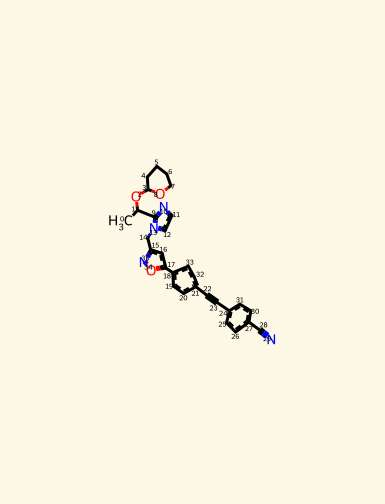 CC(OC1CCCCO1)c1nccn1Cc1cc(-c2ccc(C#Cc3ccc(C#N)cc3)cc2)on1